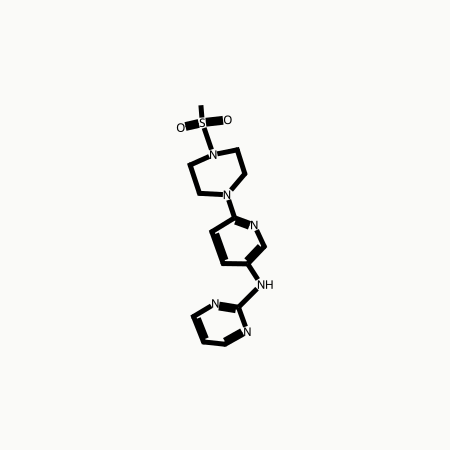 CS(=O)(=O)N1CCN(c2ccc(Nc3ncccn3)cn2)CC1